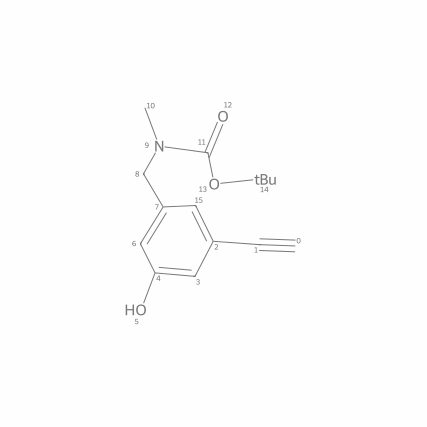 C#Cc1cc(O)cc(CN(C)C(=O)OC(C)(C)C)c1